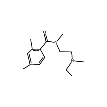 CCN(C)CCN(C)C(=O)c1ccc(C)cc1C